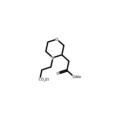 CCOC(=O)CCN1CCOCC1CC(=O)OC